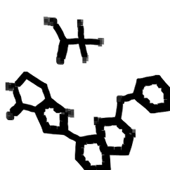 O=C(O)C(F)(F)F.O=C1NCCc2[nH]c(-c3cccc4cnc(Oc5ccccc5)nc34)cc21